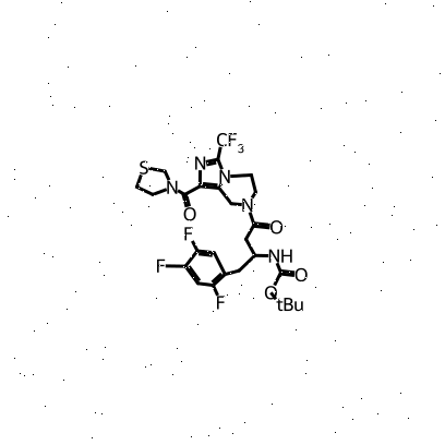 CC(C)(C)OC(=O)NC(CC(=O)N1CCn2c(C(F)(F)F)nc(C(=O)N3CCSC3)c2C1)Cc1cc(F)c(F)cc1F